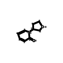 O=c1c[c]ccn1C1CCOC1